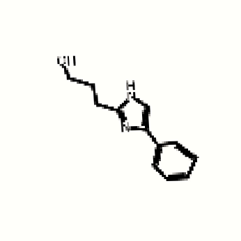 OCCCc1nc(-c2ccccc2)c[nH]1